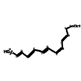 CCCCCCCCC/C=C/C=C\C=C\C=C\C=C\C(=O)O